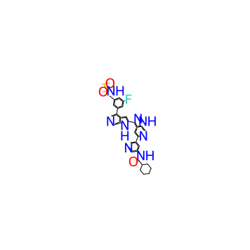 CS(=O)(=O)NCc1cc(F)cc(-c2cncc3[nH]c(-c4n[nH]c5cnc(-c6cncc(NC(=O)C7CCCCC7)c6)cc45)cc23)c1